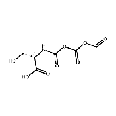 O=COC(=O)OC(=O)N[C@@H](CO)C(=O)O